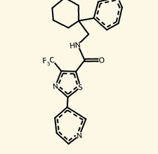 O=C(NCC1(c2cccnc2)CCCCC1)c1sc(-c2cccnc2)nc1C(F)(F)F